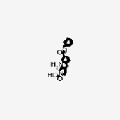 Nc1cc(C(=O)OCc2ccccc2)ccc1CC1CCN(C(=O)O)CC1